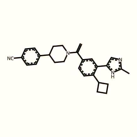 C=C(c1ccc(C2CCC2)c(-c2cnc(C)[nH]2)c1)N1CCC(c2ccc(C#N)cc2)CC1